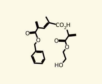 C=C(C)C(=O)OCCO.C=C(C=C(C)C(=O)O)C(=O)OCc1ccccc1